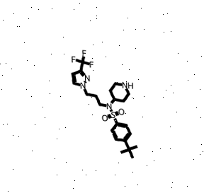 CC(C)(C)c1ccc(S(=O)(=O)N(CCCn2ccc(C(F)(F)F)n2)C2CCNCC2)cc1